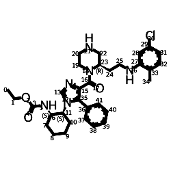 CCOC(=O)N[C@H]1CCCC[C@@H]1n1cnc(C(=O)N2CCNC[C@H]2CCNc2cc(Cl)ccc2C)c1-c1ccccc1